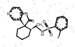 CNC(=S)[C@@]1(c2cccnc2)CCCC[C@@H]1C(C)NS(=O)(=O)c1ccccc1F